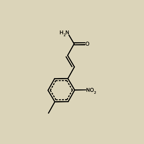 Cc1ccc(/C=C/C(N)=O)c([N+](=O)[O-])c1